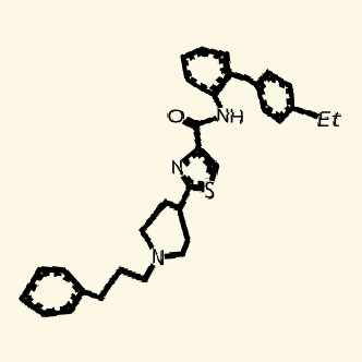 CCc1ccc(-c2ccccc2NC(=O)c2csc(C3CCN(CCCc4ccccc4)CC3)n2)cc1